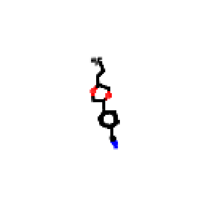 CCCC1COC(c2ccc(C#N)cc2)CO1